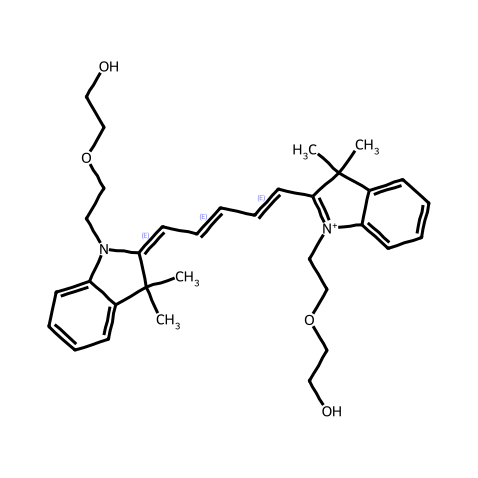 CC1(C)C(/C=C/C=C/C=C2/N(CCOCCO)c3ccccc3C2(C)C)=[N+](CCOCCO)c2ccccc21